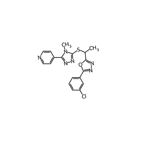 CC(Sc1nnc(-c2ccncc2)n1C)c1nnc(-c2cccc(Cl)c2)o1